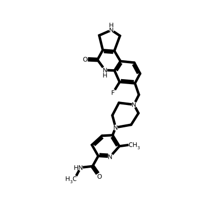 CNC(=O)c1ccc(N2CCN(Cc3ccc4c5c(c(=O)[nH]c4c3F)CNC5)CC2)c(C)n1